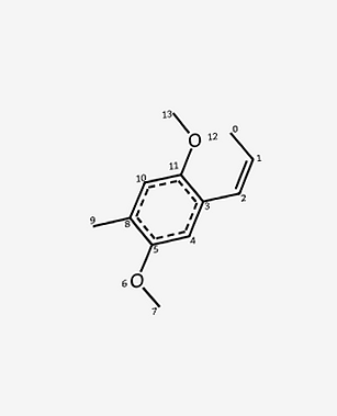 C/C=C\c1cc(OC)c(C)cc1OC